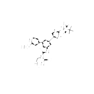 CCN(C(N)=O)c1nc2cc(-c3cnc(NS(=O)(=O)C(C)(C)C)nc3)cc(-c3ccnc(O)c3)c2s1